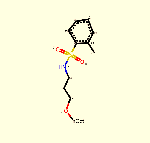 CCCCCCCCOCCCNS(=O)(=O)c1ccccc1C